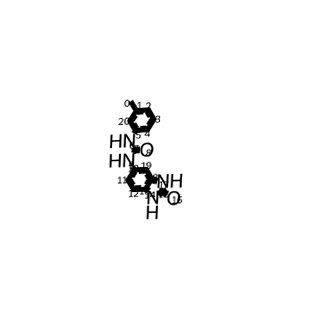 Cc1cccc(NC(=O)Nc2ccc3[nH]c(=O)[nH]c3c2)c1